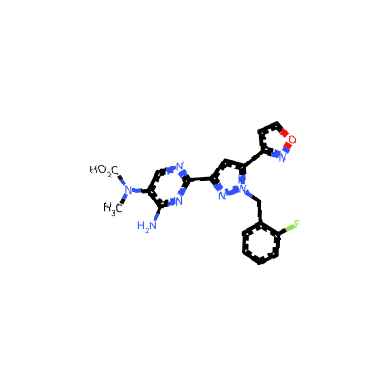 CN(C(=O)O)c1cnc(-c2cc(-c3ccon3)n(Cc3ccccc3F)n2)nc1N